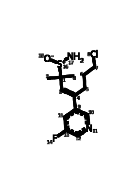 CC(C)(C=C(CCCCl)c1cncc(F)c1)[S+](N)[O-]